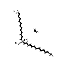 CCCCCCCCCCCCC[N+](C)(C)CCCCCCCCCCCCC.O=C[O-]